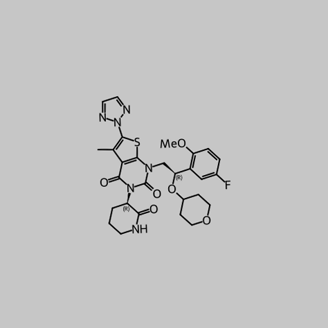 COc1ccc(F)cc1[C@H](Cn1c(=O)n([C@@H]2CCCNC2=O)c(=O)c2c(C)c(-n3nccn3)sc21)OC1CCOCC1